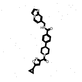 O=C(NCc1ccn2ccnc2c1)c1ccc(C2CCN(C(=O)c3cc(C4CC4)on3)CC2)cc1